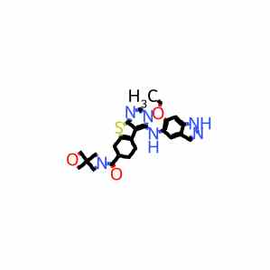 CCOc1cc2[nH]ncc2cc1Nc1ncnc2sc3c(c12)CCC(C(=O)N1CC2(COC2)C1)C3